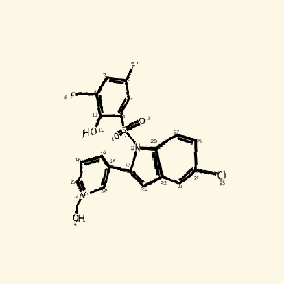 O=S(=O)(c1cc(F)cc(F)c1O)n1c(-c2ccc[n+](O)c2)cc2cc(Cl)ccc21